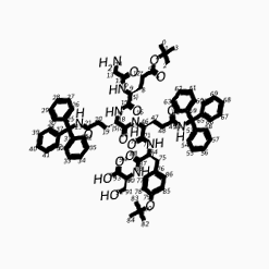 CC(C)(C)OC(=O)CC[C@H](NC(=O)CN)C(=O)N[C@@H](CCC(=O)NC(c1ccccc1)(c1ccccc1)c1ccccc1)C(=O)N[C@@H](CCC(=O)NC(c1ccccc1)(c1ccccc1)c1ccccc1)C(=O)N[C@@H](Cc1ccc(OC(C)(C)C)cc1)C(=O)N[C@@H](CO)C(=O)O